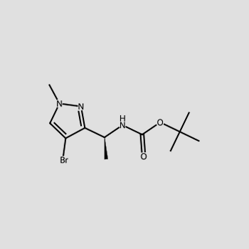 C[C@H](NC(=O)OC(C)(C)C)c1nn(C)cc1Br